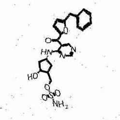 NS(=O)(=O)OCC1C[C@@H](Nc2ncncc2C(=O)c2ccc(Cc3ccccc3)o2)C[C@@H]1O